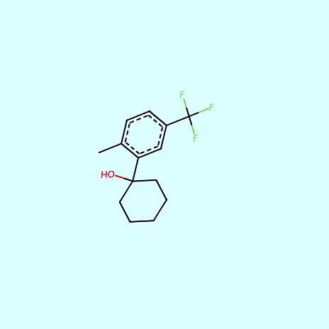 Cc1ccc(C(F)(F)F)cc1C1(O)CCCCC1